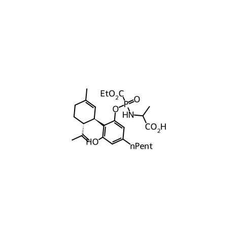 C=C(C)[C@@H]1CCC(C)=C[C@H]1c1c(O)cc(CCCCC)cc1OP(=O)(NC(C)C(=O)O)C(=O)OCC